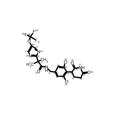 CC(C)(C(=O)NCc1cc(Cl)c(C2CCC(=O)NC2=O)c(Cl)c1)c1ncc(OC(F)(F)F)cn1